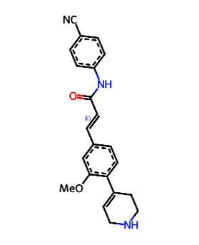 COc1cc(/C=C/C(=O)Nc2ccc(C#N)cc2)ccc1C1=CCNCC1